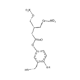 O=C(CC(CO[N+](=O)[O-])CO[N+](=O)[O-])Oc1ccc(O)c(CS)c1